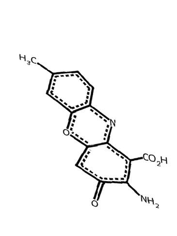 Cc1ccc2nc3c(C(=O)O)c(N)c(=O)cc-3oc2c1